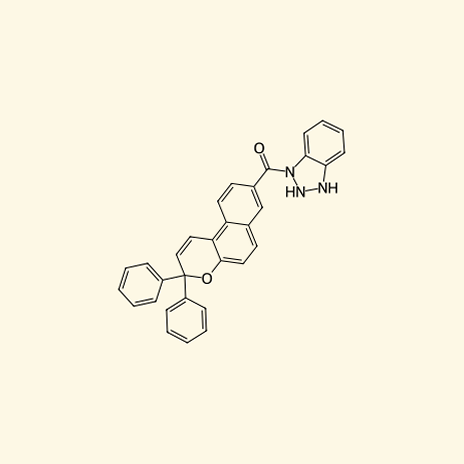 O=C(c1ccc2c3c(ccc2c1)OC(c1ccccc1)(c1ccccc1)C=C3)N1NNc2ccccc21